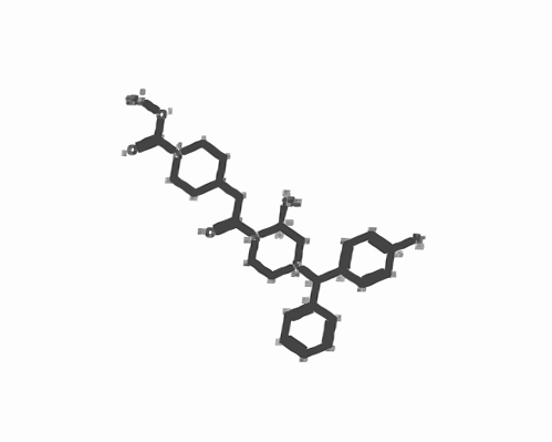 CC(C)(C)OC(=O)N1CCC(CC(=O)N2CCN(C(c3ccccc3)c3ccc(Br)cc3)C[C@@H]2C(C)(C)C)CC1